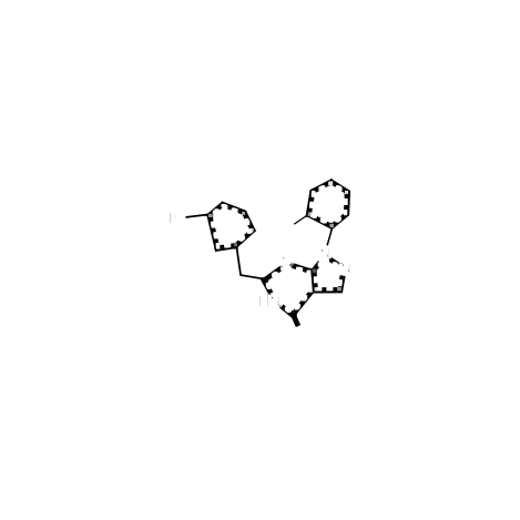 Cc1ccccc1-n1ncc2c(=O)[nH]c(Cc3cccc(Br)c3)nc21